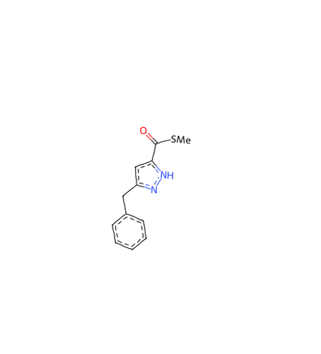 CSC(=O)c1cc(Cc2ccccc2)n[nH]1